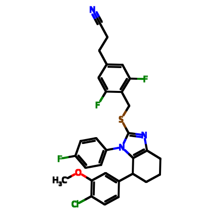 COc1cc(C2CCCc3nc(SCc4c(F)cc(CCC#N)cc4F)n(-c4ccc(F)cc4)c32)ccc1Cl